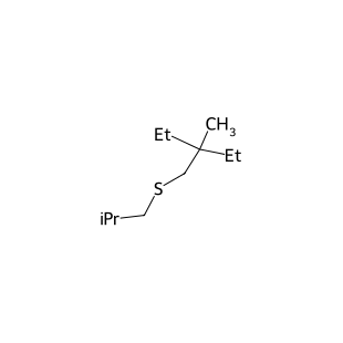 CCC(C)(CC)CSCC(C)C